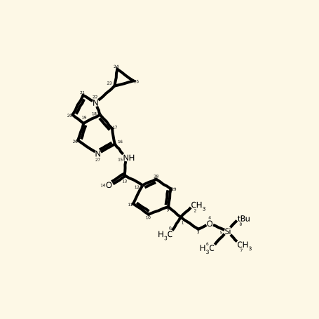 CC(C)(CO[Si](C)(C)C(C)(C)C)c1ccc(C(=O)Nc2cc3c(ccn3C3CC3)cn2)cc1